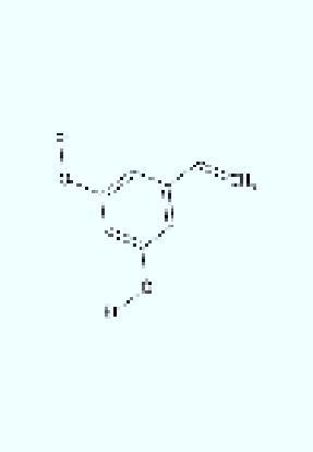 C=Cc1cc(OCC)cc(OCC)c1